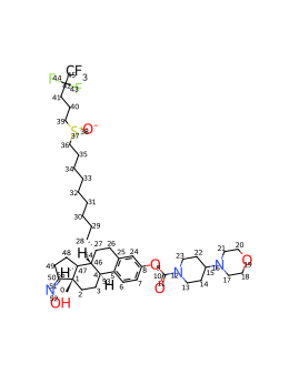 C[C@]12CC[C@@H]3c4ccc(OC(=O)N5CCC(N6CCOCC6)CC5)cc4C[C@@H](CCCCCCCCC[S+]([O-])CCCC(F)(F)C(F)(F)F)[C@H]3[C@@H]1CC/C2=N/O